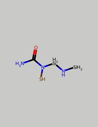 NC(=O)N(S)[SiH2]N[SiH3]